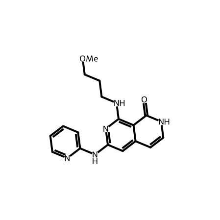 COCCCNc1nc(Nc2ccccn2)cc2cc[nH]c(=O)c12